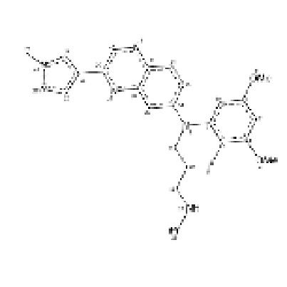 COc1cc(OC)c(F)c(N(CCCNC(C)C)c2ccc3ncc(-c4cnn(C)c4)nc3c2)c1